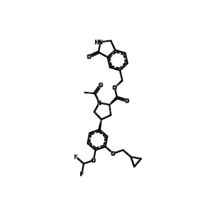 CC(=O)N1C[C@H](c2ccc(OC(F)F)c(OCC3CC3)c2)C[C@@H]1C(=O)OCc1ccc2c(c1)C(=O)NC2